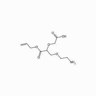 C=CCOC(=O)C(COCCN)OCC(=O)O